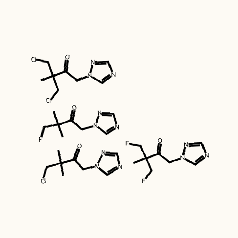 CC(C)(CCl)C(=O)Cn1cncn1.CC(C)(CF)C(=O)Cn1cncn1.CC(CCl)(CCl)C(=O)Cn1cncn1.CC(CF)(CF)C(=O)Cn1cncn1